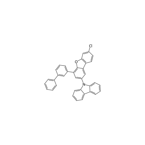 Clc1ccc2c(c1)oc1c(-c3cccc(-c4ccccc4)c3)cc(-n3c4ccccc4c4ccccc43)cc12